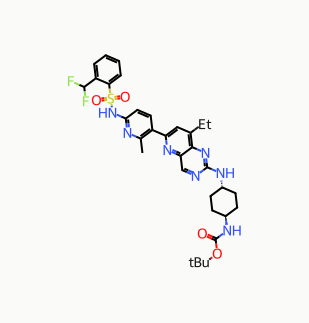 CCc1cc(-c2ccc(NS(=O)(=O)c3ccccc3C(F)F)nc2C)nc2cnc(N[C@H]3CC[C@H](NC(=O)OC(C)(C)C)CC3)nc12